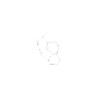 COc1ccc2oc3cccc4ccc1c2c43